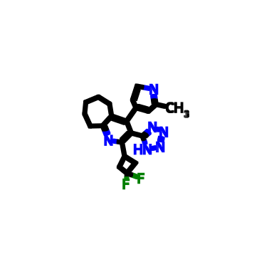 Cc1cc(-c2c3c(nc(C4CC(F)(F)C4)c2-c2nnn[nH]2)CCCCC3)ccn1